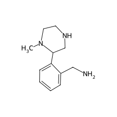 CN1CCNCC1c1ccccc1CN